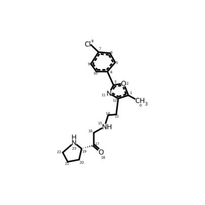 Cc1oc(-c2ccc(Cl)cc2)nc1CCNCC(=O)[C@@H]1CCCN1